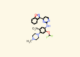 CN1CCN(c2cc(OC(F)F)c(Nc3nccc(-c4noc5ccccc45)n3)cc2[N+](=O)[O-])CC1